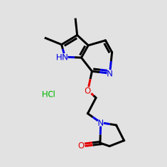 Cc1[nH]c2c(OCCN3CCCC3=O)nccc2c1C.Cl